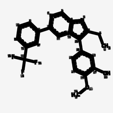 CCc1nc2cnc(-c3cccc(C(F)(F)F)c3)cn2c1-c1ccc(OC)c(O)c1